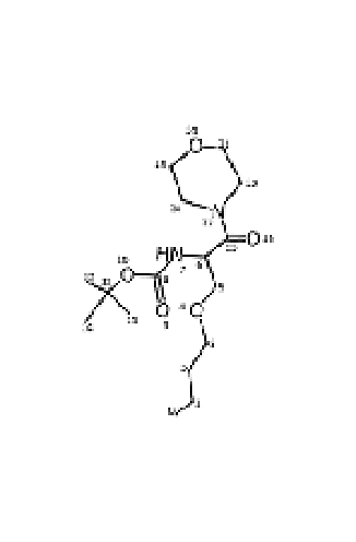 CCCCOCC(NC(=O)OC(C)(C)C)C(=O)N1CCOCC1